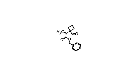 CN(C(=O)OCc1ccccc1)C1(C=O)CCC1